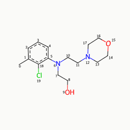 Cc1cccc(N(CCO)CCN2CCOCC2)c1Cl